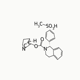 CS(=O)(=O)O.O=C(O[C@H]1CN2CCC1CC2)N1CCc2ccccc2[C@H]1c1ccccc1